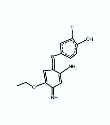 CCOC1=C/C(=N/c2ccc(O)c(Cl)c2)C(N)=CC1=N